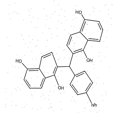 CCCc1ccc(C(c2ccc3c(O)cccc3c2O)c2ccc3c(O)cccc3c2O)cc1